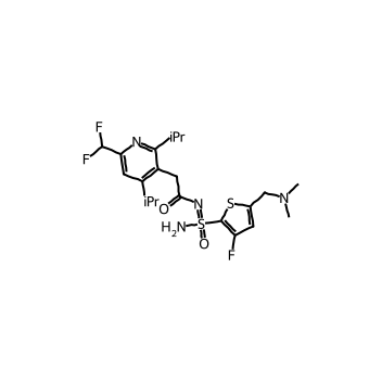 CC(C)c1cc(C(F)F)nc(C(C)C)c1CC(=O)N=S(N)(=O)c1sc(CN(C)C)cc1F